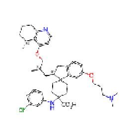 C[C@@H](COc1ccnc2c1[C@H](C)CCC2)C[C@H]1Cc2ccc(OCCCN(C)C)cc2C12CCC(Nc1cccc(Cl)c1)(C(=O)O)CC2